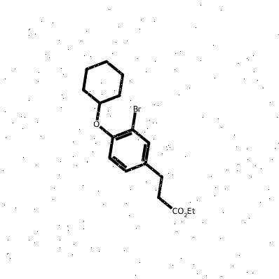 CCOC(=O)CCc1ccc(OC2CCCCC2)c(Br)c1